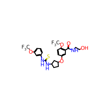 O=C(NCCO)c1cc(OC2CCC(NC(=S)Nc3cccc(OC(F)(F)F)c3)C2)ccc1OC(F)(F)F